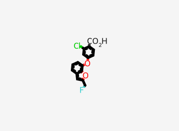 O=C(O)c1ccc(Oc2cccc3cc(CF)oc23)cc1Cl